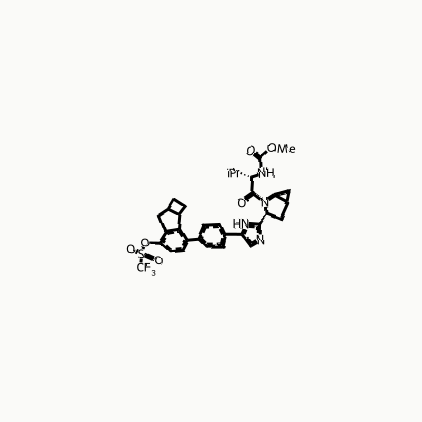 COC(=O)N[C@H](C(=O)N1C2CC2C[C@H]1c1ncc(-c2ccc(-c3ccc(OS(=O)(=O)C(F)(F)F)c4c3C3CCC3C4)cc2)[nH]1)C(C)C